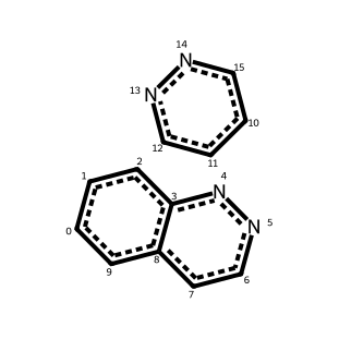 c1ccc2nnccc2c1.c1ccnnc1